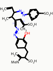 C=CC(/N=N/c1ccc(S(=O)(=O)O)cc1)C(C)C(=C/N=N/C1=CCC(CC(C(=C)NC)S(=O)(=O)O)C=C1O)/C=C(\C)S(=O)(=O)O